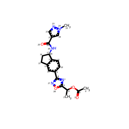 CC(=O)OC(C)c1nc(-c2ccc3c(c2)CC[C@H]3NC(=O)c2cnn(C)c2)no1